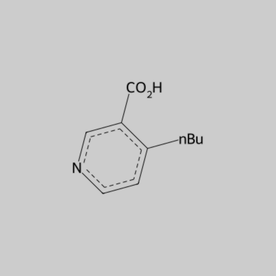 CCCCc1ccncc1C(=O)O